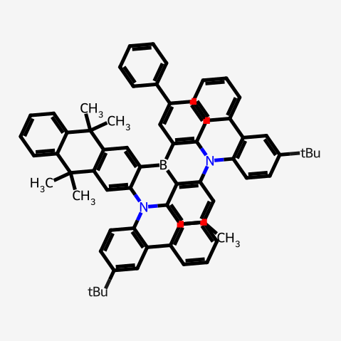 Cc1cc2c3c(c1)N(c1ccc(C(C)(C)C)cc1-c1ccccc1)c1cc4c(cc1B3c1cc(-c3ccccc3)ccc1N2c1ccc(C(C)(C)C)cc1-c1ccccc1)C(C)(C)c1ccccc1C4(C)C